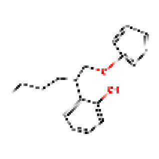 CCCCC(COc1ccccc1)c1ccccc1O